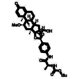 CO[C@H]1C[C@@]2(C)[C@@H](C[C@H]3O[C@@H](c4ccc(NC(=O)[C@H](C)NC(=O)OC(C)(C)C)cc4)O[C@]32C(=O)CO)[C@@H]2CCC3=CC(=O)C=C[C@]3(C)[C@@]12I